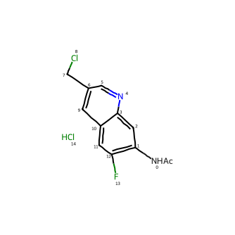 CC(=O)Nc1cc2ncc(CCl)cc2cc1F.Cl